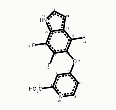 O=C(O)c1cc(Oc2c(F)c(F)c3[nH]ccc3c2Br)ccn1